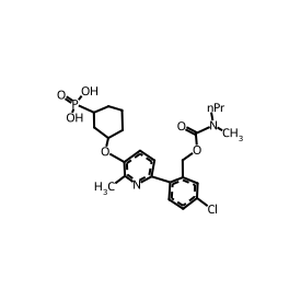 CCCN(C)C(=O)OCc1cc(Cl)ccc1-c1ccc(OC2CCCC(P(=O)(O)O)C2)c(C)n1